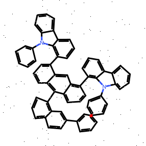 c1ccc(-c2ccc3cccc(-c4c5cccc(-c6cccc7c8ccccc8n(-c8ccccc8)c67)c5cc5c(-c6cccc7c8ccccc8n(-c8ccccc8)c67)cccc45)c3c2)cc1